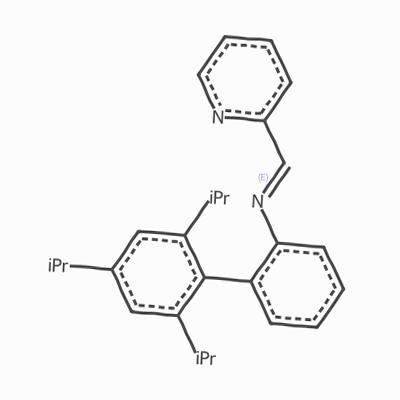 CC(C)c1cc(C(C)C)c(-c2ccccc2/N=C/c2ccccn2)c(C(C)C)c1